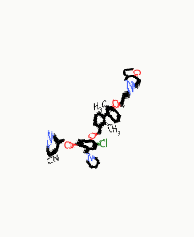 Cc1c(COc2cc(OCc3cncc(C#N)c3)c(CN3CCCCC3)cc2Cl)cccc1-c1cccc(OCCCN2CCC3OCCCC3C2)c1C